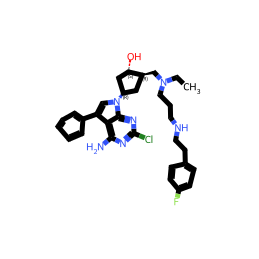 CCN(CCCNCCc1ccc(F)cc1)C[C@H]1C[C@@H](n2cc(-c3ccccc3)c3c(N)nc(Cl)nc32)C[C@@H]1O